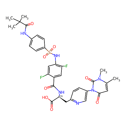 Cc1cc(=O)n(-c2ccc(C[C@H](NC(=O)c3cc(F)c(NS(=O)(=O)c4ccc(NC(=O)C(C)(C)C)cc4)cc3F)C(=O)O)nc2)c(=O)n1C